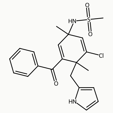 CC1(NS(C)(=O)=O)C=C(Cl)C(C)(Cc2ccc[nH]2)C(C(=O)c2ccccc2)=C1